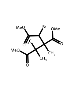 COC(=O)C(Br)C(C)(C(=O)OC)C(C)(C)C(=O)OC